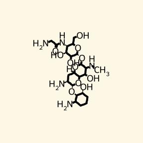 CNC1C(O[C@H]2OC(CO)[C@@H](NC(=O)CN)[C@H](O)C2O)O[C@H]2C[C@H](N)[C@@H](O[C@@H]3C(N)CCC[C@H]3O)OC2C1O